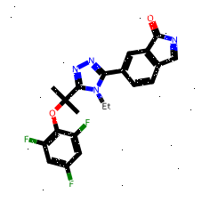 CCn1c(-c2ccc3c(c2)C(=O)N=C3)nnc1C(C)(C)Oc1c(F)cc(F)cc1F